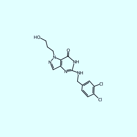 O=c1[nH]c(NCc2ccc(Cl)c(Cl)c2)nc2cnn(CCCO)c12